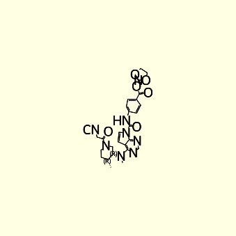 C[C@@H]1CCN(C(=O)CC#N)C[C@@H]1N(C)c1ncnc2c1ccn2C(=O)Nc1ccc(C(=O)ON2OCCO2)cc1